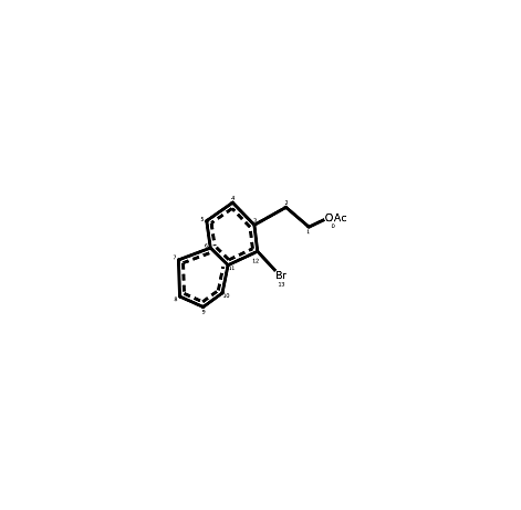 CC(=O)OCCc1ccc2ccccc2c1Br